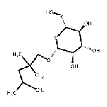 CC(C)CC(C)(C)CO[C@@H]1O[C@H](CO)[C@@H](O)[C@H](O)[C@H]1O